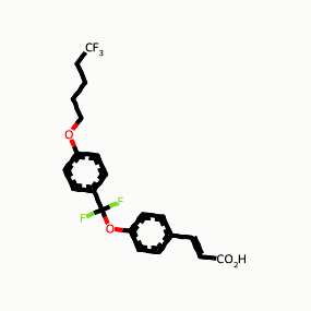 O=C(O)C=Cc1ccc(OC(F)(F)c2ccc(OCCCCC(F)(F)F)cc2)cc1